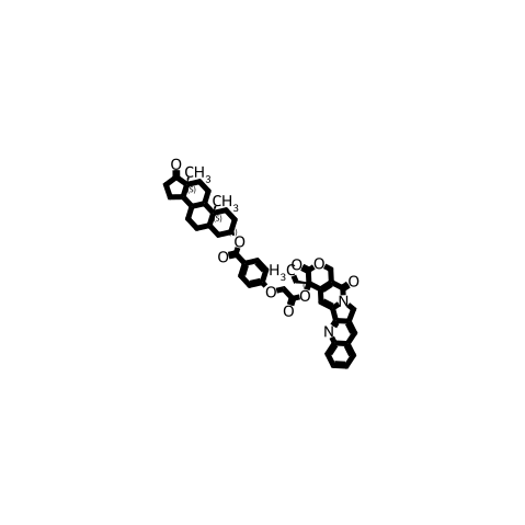 CC[C@@]1(OC(=O)COc2ccc(C(=O)O[C@H]3CC[C@@]4(C)C(CCC5C4CC[C@]4(C)C(=O)CCC54)C3)cc2)C(=O)OCc2c1cc1n(c2=O)Cc2cc3ccccc3nc2-1